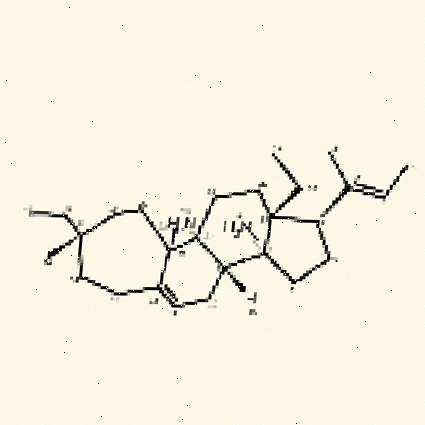 C/C=C(\C)[C@H]1CC[C@@]2(N)[C@@H]3CC=C4CC[C@](C)(CC)CC[C@]4(C)[C@@]3(N)CC[C@]12CC